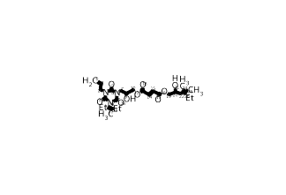 C=CCn1c(=O)n(CC(O)COC(=O)/C=C/C(=O)OCC(O)CC(C)(C)CC)c(=O)n(C(C)(CC)CC)c1=O